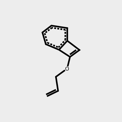 C=CCOC1=Cc2ccccc21